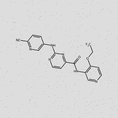 N#Cc1ccc(Nc2nccc(C(=O)Nc3cnccc3OCC(F)(F)F)n2)cn1